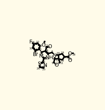 COC(=O)C1=C(CN2C3COCC34CC(C(=O)OC)CC24)NC(c2nccs2)=N[C@H]1c1ccc(F)cc1Br